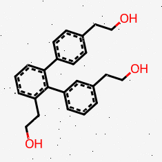 OCCc1ccc(-c2cc[c]c(CCO)c2-c2cccc(CCO)c2)cc1